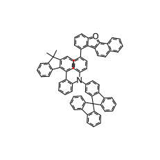 CC1(C)c2ccccc2-c2c(-c3ccccc3N(c3ccc(-c4cccc5oc6c7ccccc7ccc6c45)cc3)c3ccc4c(c3)C3(c5ccccc5-c5ccccc53)c3ccccc3-4)cccc21